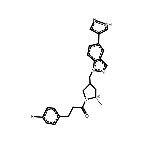 C[C@H]1CC(Cn2ncc3cc(-c4cn[nH]c4)ccc32)CN1C(=O)CCc1ccc(F)cc1